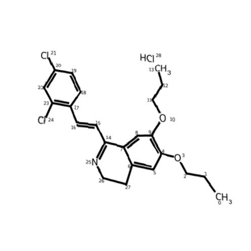 CCCOc1cc2c(cc1OCCC)C(C=Cc1ccc(Cl)cc1Cl)=NCC2.Cl